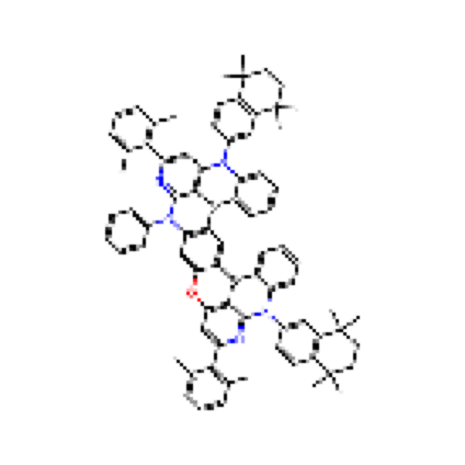 Cc1cccc(C)c1-c1cc2c3c(n1)N(c1ccc4c(c1)C(C)(C)CCC4(C)C)c1ccccc1B3c1cc3c(cc1O2)N(c1ccccc1)c1nc(-c2c(C)cccc2C)cc2c1B3c1ccccc1N2c1ccc2c(c1)C(C)(C)CCC2(C)C